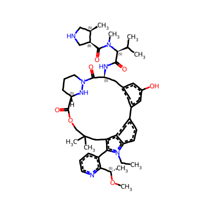 CCn1c(-c2cccnc2[C@H](C)OC)c2c3cc(ccc31)-c1cc(O)cc(c1)C[C@H](NC(=O)[C@H](C(C)C)N(C)C(=O)[C@H]1CNC[C@H]1C)C(=O)N1CCC[C@H](N1)C(=O)OCC(C)(C)C2